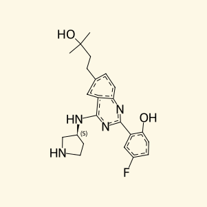 CC(C)(O)CCc1ccc2nc(-c3cc(F)ccc3O)nc(N[C@H]3CCNC3)c2c1